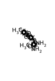 COc1cc(Oc2ccc(S(=O)(=O)c3ccc(C)cc3)cc2)c(N)cc1N